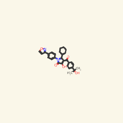 CC(C)(O)c1ccc(C(=O)C2=C(O)C(=O)N(c3ccc(-c4ccon4)cc3)C2C2CCCCC2)cc1